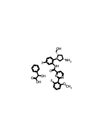 COc1cccc(F)c1-c1nccc(C(=O)Nc2cc(F)ccc2N2C[C@@H](N)C[C@H]2CO)n1.O=C(O)C(O)c1ccccc1